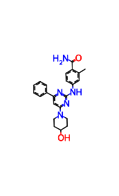 Cc1cc(Nc2nc(-c3ccccc3)cc(N3CCC(O)CC3)n2)ccc1C(N)=O